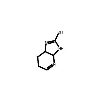 OC1=NC2CCC=NC2N1